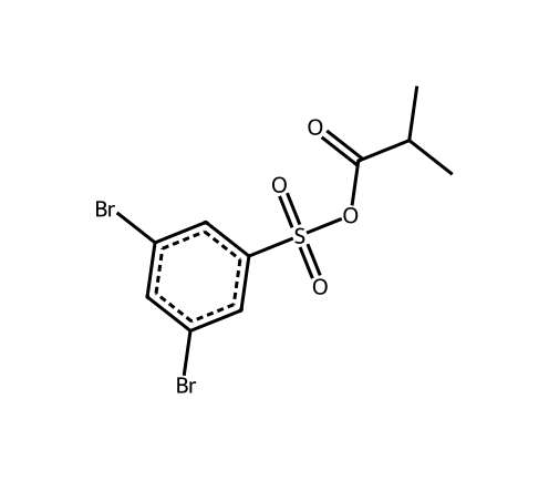 CC(C)C(=O)OS(=O)(=O)c1cc(Br)cc(Br)c1